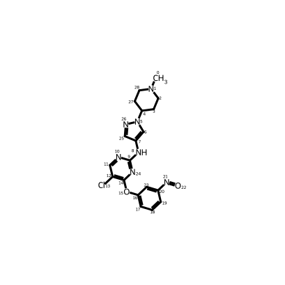 CN1CCC(n2cc(Nc3ncc(Cl)c(Oc4cccc(N=O)c4)n3)cn2)CC1